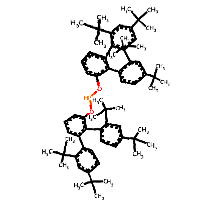 CC(C)(C)c1ccc(-c2cccc(OPOc3cccc(-c4ccc(C(C)(C)C)cc4C(C)(C)C)c3-c3ccc(C(C)(C)C)cc3C(C)(C)C)c2-c2ccc(C(C)(C)C)cc2C(C)(C)C)c(C(C)(C)C)c1